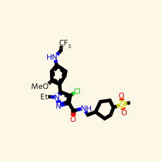 CCn1nc(C(=O)NCC2CCC(S(C)(=O)=O)CC2)c(Cl)c1-c1ccc(NCC(F)(F)F)cc1OC